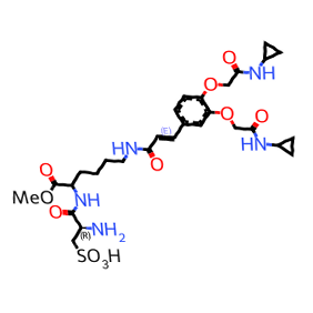 COC(=O)C(CCCCNC(=O)/C=C/c1ccc(OCC(=O)NC2CC2)c(OCC(=O)NC2CC2)c1)NC(=O)[C@@H](N)CS(=O)(=O)O